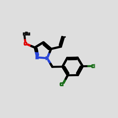 [CH]=Cc1cc(OCCCC)nn1Cc1ccc(Cl)cc1Cl